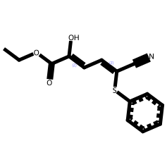 CCOC(=O)/C(O)=C/C=C(/C#N)Sc1ccccc1